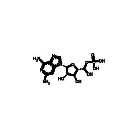 Nc1cc2c(ncn2[C@@H]2O[C@H](C(O)OP(=O)(O)O)[C@@H](O)[C@@H]2O)c(N)n1